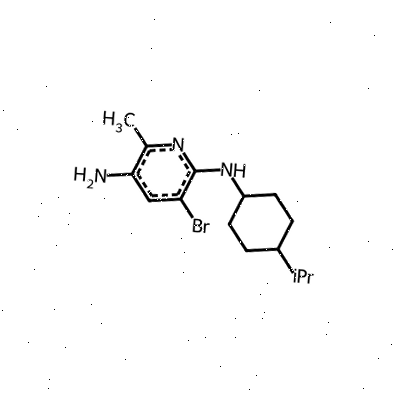 Cc1nc(NC2CCC(C(C)C)CC2)c(Br)cc1N